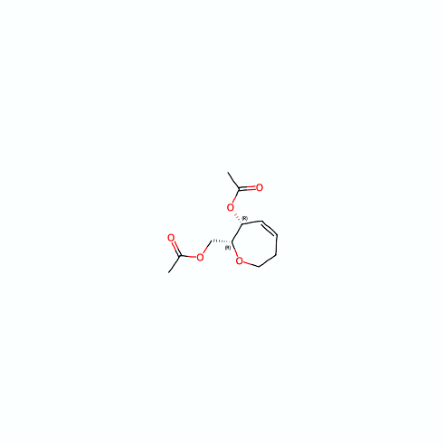 CC(=O)OC[C@H]1OCCC=C[C@H]1OC(C)=O